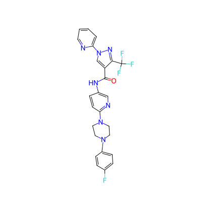 O=C(Nc1ccc(N2CCN(c3ccc(F)cc3)CC2)nc1)c1cn(-c2ccccn2)nc1C(F)(F)F